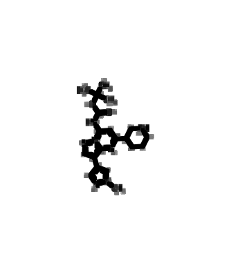 Cn1cc(-c2cnn3c(NC(=O)OC(C)(C)C)cc(C4CCCNC4)nc23)cn1